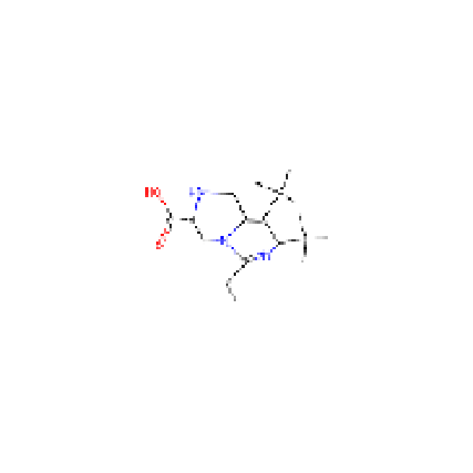 CCC1=NC(C(C)(C)C)C(C(C)(C)C)=C2CNC(C(=O)O)CN12